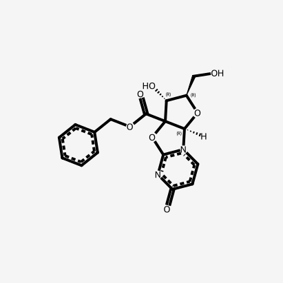 O=C(OCc1ccccc1)C12Oc3nc(=O)ccn3[C@@H]1O[C@H](CO)[C@H]2O